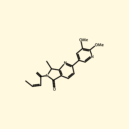 C=C(/C=C\C)N1C(=O)c2ccc(-c3cnc(OC)c(OC)c3)nc2C1C